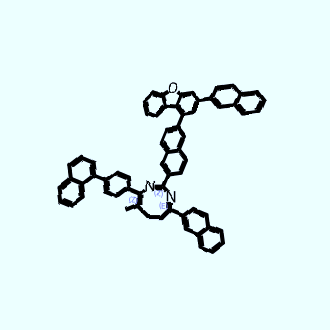 C/C1=C(c2ccc(-c3cccc4ccccc34)cc2)/N=C(c2ccc3cc(-c4cc(-c5ccc6ccccc6c5)cc5oc6ccccc6c45)ccc3c2)\N=C(\c2ccc3ccccc3c2)CC1